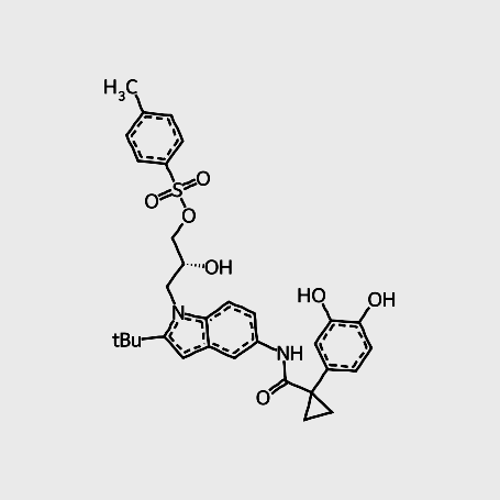 Cc1ccc(S(=O)(=O)OC[C@H](O)Cn2c(C(C)(C)C)cc3cc(NC(=O)C4(c5ccc(O)c(O)c5)CC4)ccc32)cc1